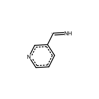 N=[C]c1cccnc1